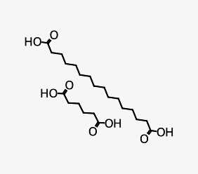 O=C(O)CCCCC(=O)O.O=C(O)CCCCCCCCCCCCCCC(=O)O